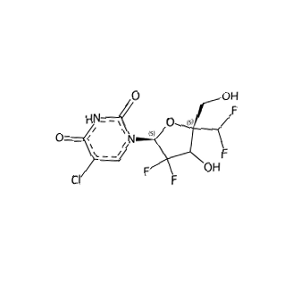 O=c1[nH]c(=O)n([C@H]2O[C@](CO)(C(F)F)C(O)C2(F)F)cc1Cl